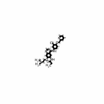 C=CC(=O)Nc1cc2c(Nc3ccc(OCc4ccccn4)c(Cl)c3)ncnc2cc1OCCN(C)C